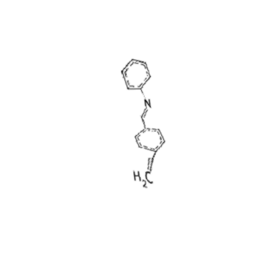 C=Cc1ccc(/C=N/c2ccccc2)cc1